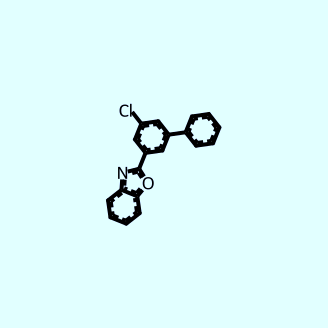 Clc1cc(-c2ccccc2)cc(-c2nc3ccccc3o2)c1